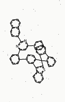 c1ccc(-c2cc(-c3ccccc3-c3ccc4c(c3)-c3c(sc5ccccc35)C43c4ccccc4-c4ccccc43)nc(-c3ccc4ccccc4c3)n2)cc1